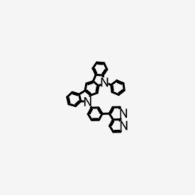 c1ccc(-n2c3ccccc3c3cc4c5ccccc5n(-c5cccc(-c6ccnc7ncccc67)c5)c4cc32)cc1